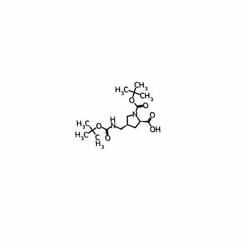 CC(C)(C)OC(=O)NC[C@@H]1C[C@H](C(=O)O)N(C(=O)OC(C)(C)C)C1